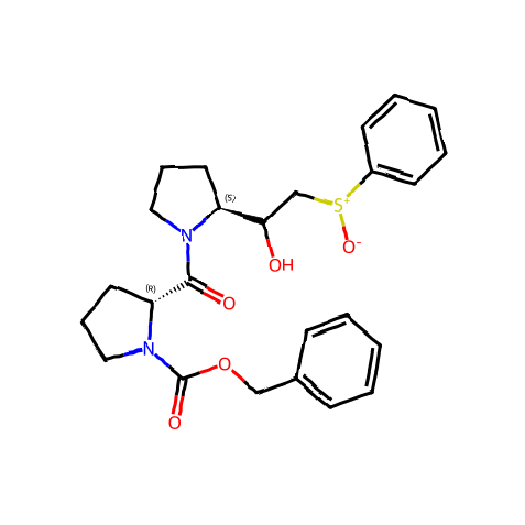 O=C(OCc1ccccc1)N1CCC[C@@H]1C(=O)N1CCC[C@H]1C(O)C[S+]([O-])c1ccccc1